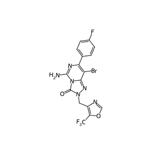 Nc1nc(-c2ccc(F)cc2)c(Br)c2nn(Cc3ncoc3C(F)(F)F)c(=O)n12